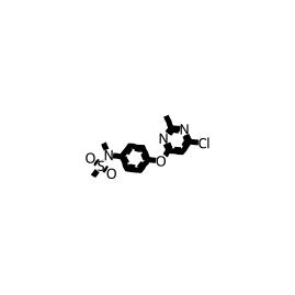 Cc1nc(Cl)cc(Oc2ccc(N(C)S(C)(=O)=O)cc2)n1